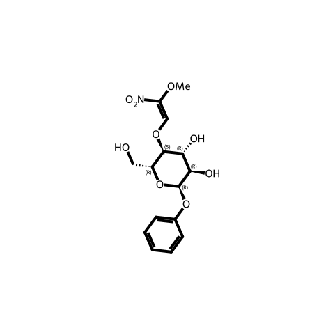 COC(=CO[C@H]1[C@H](O)[C@@H](O)[C@@H](Oc2ccccc2)O[C@@H]1CO)[N+](=O)[O-]